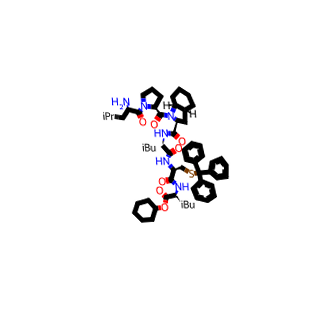 CC[C@H](C)[C@H](NC(=O)[C@@H]1C[C@@H]2CCCC[C@@H]2N1C(=O)[C@@H]1CCCN1C(=O)[C@@H](N)CC(C)C)C(=O)N[C@@H](CSC(c1ccccc1)(c1ccccc1)c1ccccc1)C(=O)N[C@H](C(=O)OC1CCCCC1)[C@@H](C)CC